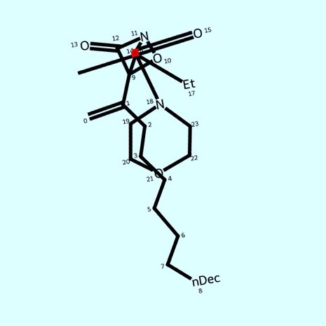 C=C(CCCCCCCCCCCCCCCC)C12ON(C1=O)C(=O)C2(CC)N1CCOCC1